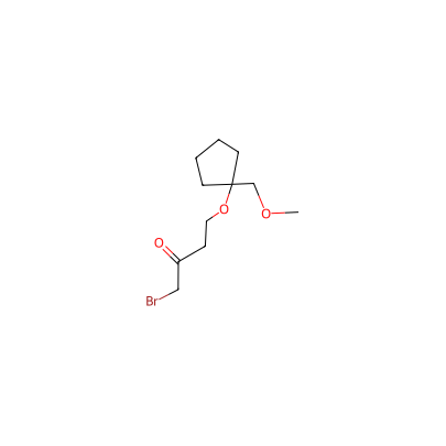 COCC1(OCCC(=O)CBr)CCCC1